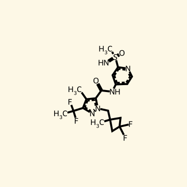 Cc1c(C(C)(F)F)nn(CC2(C)CC(F)(F)C2)c1C(=O)Nc1ccnc(S(C)(=N)=O)c1